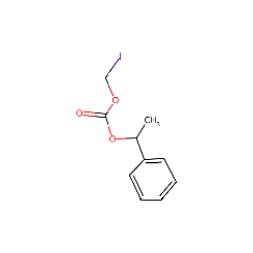 CC(OC(=O)OCI)c1ccccc1